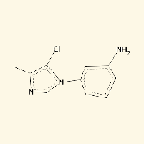 Cc1ncn(-c2cccc(N)c2)c1Cl